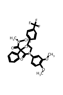 COc1ccc(N(CCc2ccc(C(F)(F)F)cc2)C(=O)C(C)(C(=O)N(C)C)c2ccccc2)cc1OC